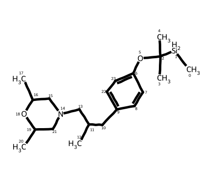 C[SiH2]C(C)(C)Oc1ccc(CC(C)CN2CC(C)OC(C)C2)cc1